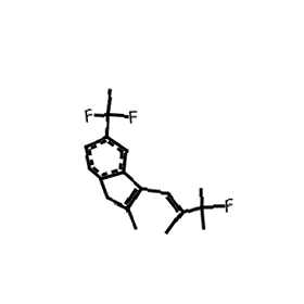 CC1=C(/C=C(\C)C(C)(C)F)c2cc(C(C)(F)F)ccc2C1